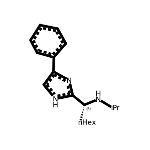 CCCCCC[C@@H](NC(C)C)c1nc(-c2ccccc2)c[nH]1